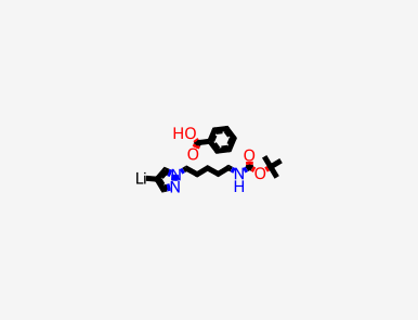 O=C(O)c1ccccc1.[Li][c]1cnn(CCCCCNC(=O)OC(C)(C)C)c1